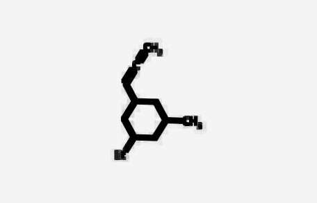 C=C=CC1CC(C)CC(CC)C1